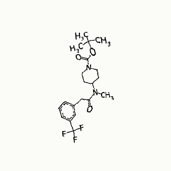 CN(C(=O)Cc1cccc(C(F)(F)F)c1)C1CCN(C(=O)OC(C)(C)C)CC1